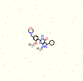 COc1cc(CN2CCOCC2)ccc1-c1nc2c(c(C3CCCCC3)nn2C)c(=O)[nH]1